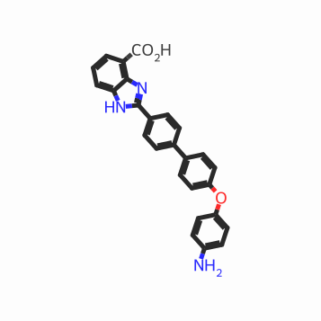 Nc1ccc(Oc2ccc(-c3ccc(-c4nc5c(C(=O)O)cccc5[nH]4)cc3)cc2)cc1